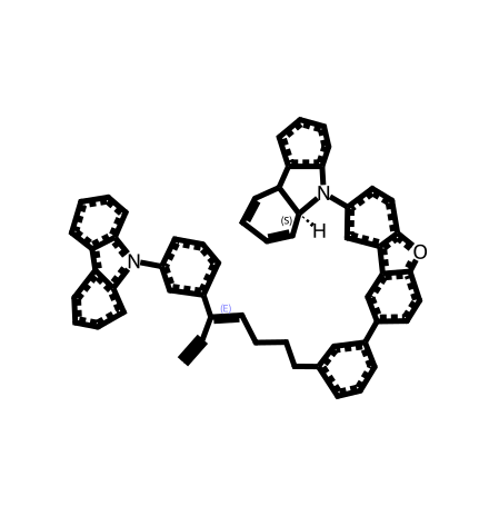 C#C/C(=C\CCCc1cccc(-c2ccc3oc4ccc(N5c6ccccc6C6C=CC=C[C@@H]65)cc4c3c2)c1)c1cccc(-n2c3ccccc3c3ccccc32)c1